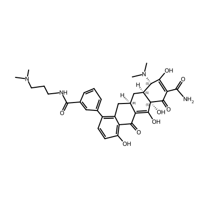 CN(C)CCCNC(=O)c1cccc(-c2ccc(O)c3c2C[C@H]2C[C@H]4[C@H](N(C)C)C(O)=C(C(N)=O)C(=O)[C@@]4(O)C(O)=C2C3=O)c1